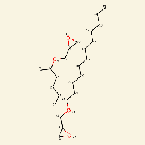 CCCCC(C)OCC1CO1.CCCCCCCCCCCCOCC1CO1